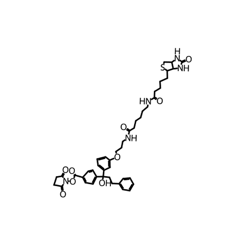 O=C(CCCCC1SCC2NC(=O)NC21)NCCCCCC(=O)NCCCOc1cccc(C(O)(CCc2ccccc2)c2ccc(C(=O)ON3C(=O)CCC3=O)cc2)c1